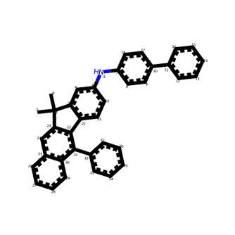 CC1(C)c2cc(Nc3ccc(-c4ccccc4)cc3)ccc2-c2c1cc1ccccc1c2-c1ccccc1